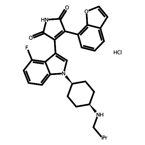 CC(C)CN[C@H]1CC[C@@H](n2cc(C3=C(c4cccc5ccoc45)C(=O)NC3=O)c3c(F)cccc32)CC1.Cl